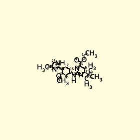 CCOC(=O)c1cc(C(C)(C)C)nc(Nc2ccc(-c3nc(C)c[nH]3)c(OC)c2)n1